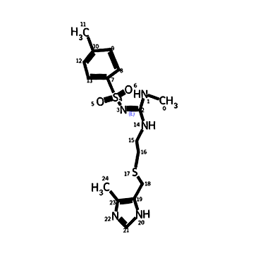 CN/C(=N\S(=O)(=O)c1ccc(C)cc1)NCCSCc1[nH]cnc1C